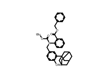 COc1ccc(CN(C(=O)OC(C)(C)C)c2ccccc2C(=O)OCc2ccccc2)cc1C12CC3CC(CC(C3)C1)C2